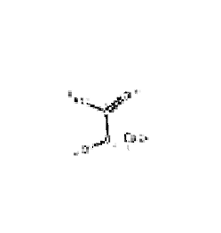 O=S([O-])O[O-].[Ca+2]